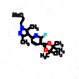 COCCn1nc(C)c(-c2ccc(B3OC(C)(C)C(C)(C)O3)c(F)n2)c1C